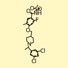 Cc1cc(C(=O)NS(C)(=O)=O)c(F)cc1OCC1CCN(C(C)c2cc(Cl)cc(Cl)c2)CC1